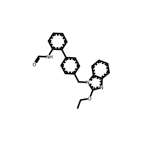 CCOc1nc2ccccc2n1Cc1ccc(-c2ccccc2NC=O)cc1